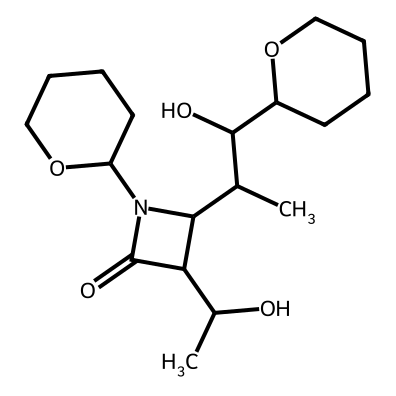 CC(O)C1C(=O)N(C2CCCCO2)C1C(C)C(O)C1CCCCO1